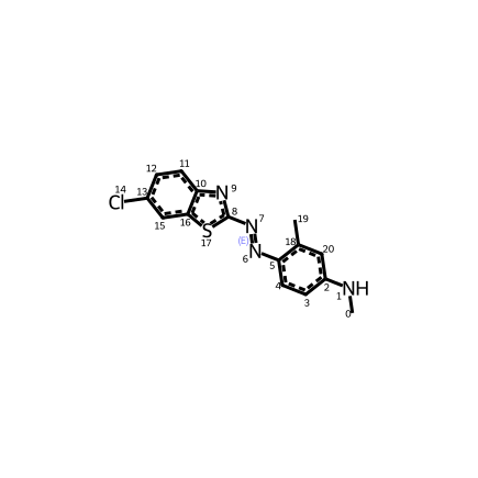 CNc1ccc(/N=N/c2nc3ccc(Cl)cc3s2)c(C)c1